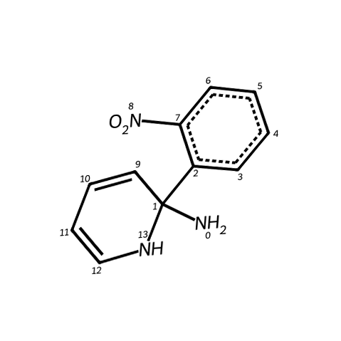 NC1(c2ccccc2[N+](=O)[O-])C=CC=CN1